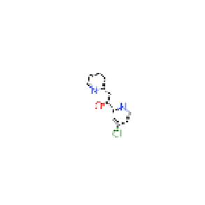 O=C(Cc1ccccn1)c1cc(Cl)ccn1